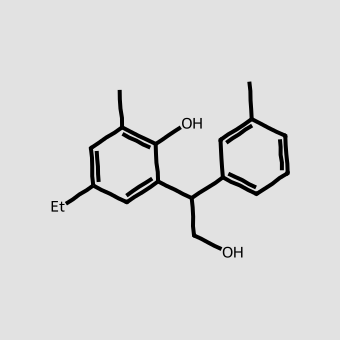 CCc1cc(C)c(O)c(C(CO)c2cccc(C)c2)c1